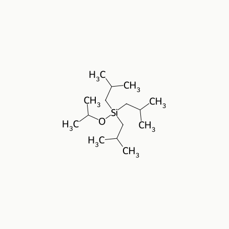 CC(C)C[Si](CC(C)C)(CC(C)C)OC(C)C